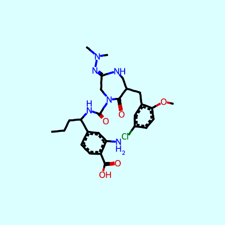 CCCC(NC(=O)N1C/C(=N/N(C)C)NCC(Cc2cc(Cl)ccc2OC)C1=O)c1ccc(C(=O)O)c(N)c1